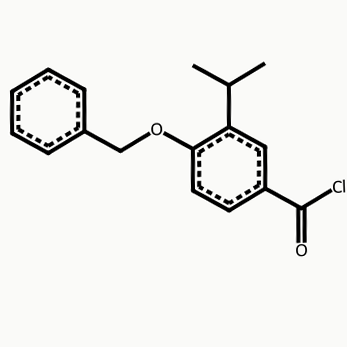 CC(C)c1cc(C(=O)Cl)ccc1OCc1ccccc1